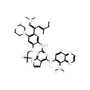 CC/C(C)=C/C(=C\N(C)C)c1cc(Nc2nc(Nc3ccc4nccnc4c3N(C)C)c3cc[nH]c3n2)c(OCC(F)(F)F)cc1N1CCOCC1